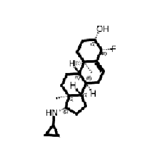 C[C@]12CC[C@H]3[C@@H](CC=C4[C@@H](F)[C@@H](O)CC[C@@]43C)[C@@H]1CC[C@@H]2NC1CC1